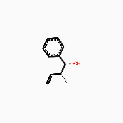 C=C[C@@H](C)[C@@H](O)c1ccccc1